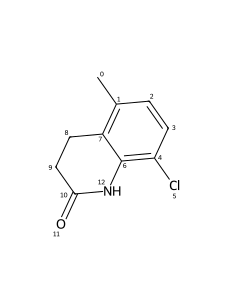 Cc1ccc(Cl)c2c1CCC(=O)N2